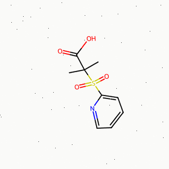 CC(C)(C(=O)O)S(=O)(=O)c1ccccn1